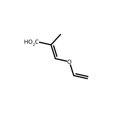 C=CO/C=C(\C)C(=O)O